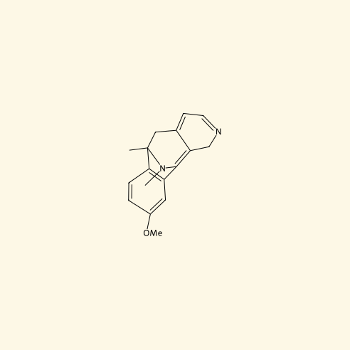 COc1ccc2c(c1)C1=C3CN=CC=C3CC2(C)N1C